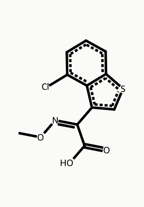 CON=C(C(=O)O)c1csc2cccc(Cl)c12